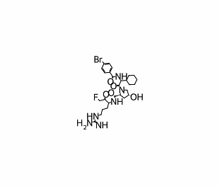 N=C(N)NCCCC(NC(=O)[C@@H]1C[C@@H](O)CN1C(=O)C(NC(=O)c1ccc(Br)cc1)C1CCCCC1)C(=O)CF